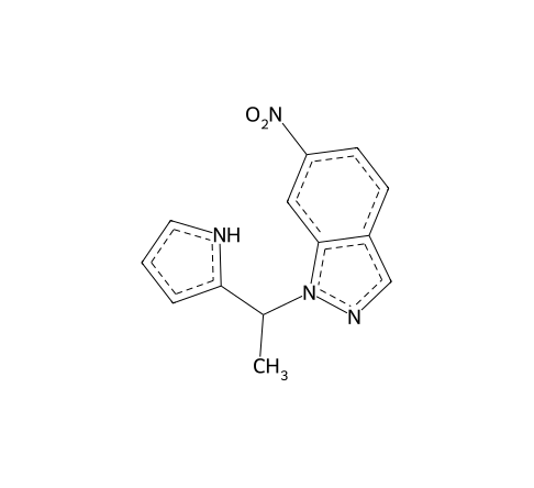 CC(c1ccc[nH]1)n1ncc2ccc([N+](=O)[O-])cc21